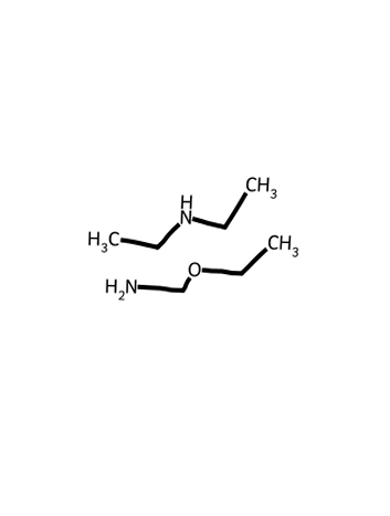 CCNCC.CCOCN